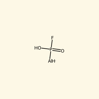 O=[P](O)(F)[AlH]